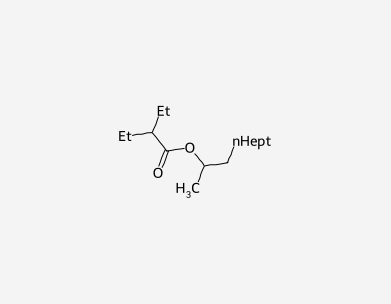 CCCCCCCCC(C)OC(=O)C(CC)CC